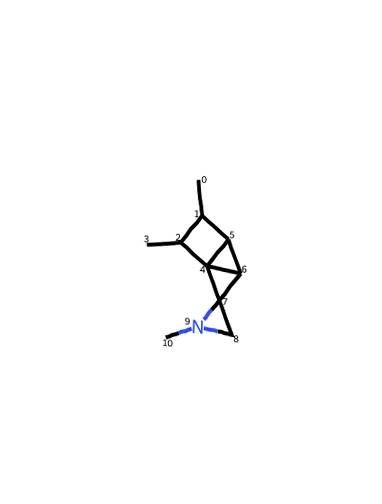 CC1C(C)C23C1C2C31CN1C